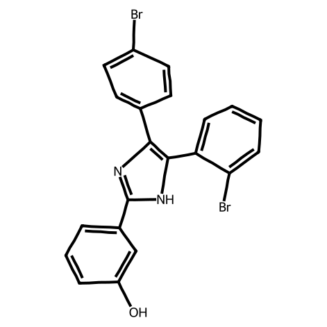 Oc1cccc(-c2nc(-c3ccc(Br)cc3)c(-c3ccccc3Br)[nH]2)c1